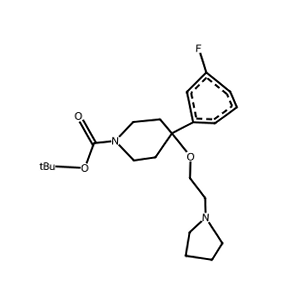 CC(C)(C)OC(=O)N1CCC(OCCN2CCCC2)(c2cccc(F)c2)CC1